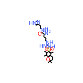 Cc1c(C)c(S(=O)(=O)NC(=N)NCCC[C@H](N)C(=O)NCCc2c[nH]cn2)c(C)c2c1OC(C)(C)CC2